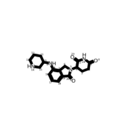 O=C1CCC(N2Cc3c(NC4CCCNC4)cccc3C2=O)C(=O)N1